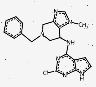 Cn1cnc2c1C(Nc1nc(Cl)nc3[nH]ccc13)CN(Cc1ccccc1)C2